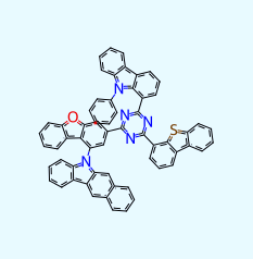 c1ccc(-n2c3ccccc3c3cccc(-c4nc(-c5cc(-n6c7ccccc7c7cc8ccccc8cc76)c6c(c5)oc5ccccc56)nc(-c5cccc6c5sc5ccccc56)n4)c32)cc1